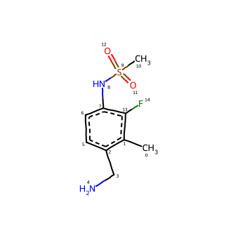 Cc1c(CN)ccc(NS(C)(=O)=O)c1F